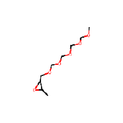 COCOCOCOCOCC1OC1C